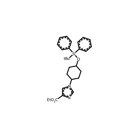 CCOC(=O)c1cn(C2CCC(O[Si](c3ccccc3)(c3ccccc3)C(C)(C)C)CC2)cn1